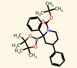 CC(C)(C)OC(=O)N1CCC(c2ccccc2)CC1(B1OC(C)(C)C(C)(C)O1)c1ccccc1